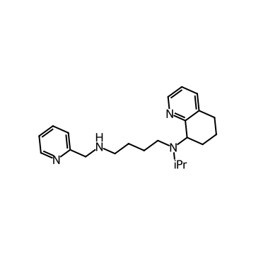 CC(C)N(CCCCNCc1ccccn1)C1CCCc2cccnc21